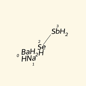 [BaH2].[NaH].[SeH][SbH2]